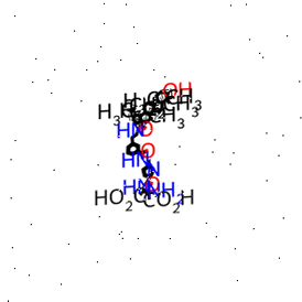 C=C(C)[C@@H]1CC[C@]2(C(=O)NCCc3cccc(C(=O)NCc4ccc(C(=O)NC(C(=O)O)C(N)C(=O)O)cn4)c3)CC[C@]3(C)C(CCC4[C@@]5(C)CC[C@H](O)C(C)(C)C5CC[C@]43C)C12